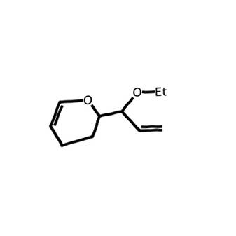 C=CC(OCC)C1CCC=CO1